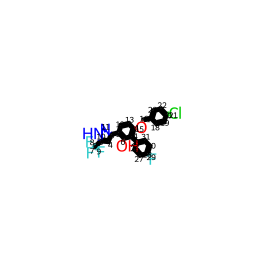 Oc1c(-c2cc(C(F)(F)F)[nH]n2)ccc(OCc2ccc(Cl)cc2)c1-c1ccc(F)cc1